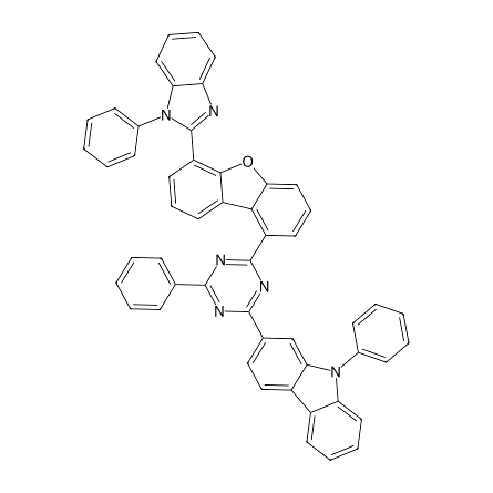 c1ccc(-c2nc(-c3ccc4c5ccccc5n(-c5ccccc5)c4c3)nc(-c3cccc4oc5c(-c6nc7ccccc7n6-c6ccccc6)cccc5c34)n2)cc1